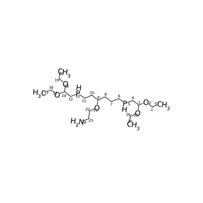 CCOC(CPCCCC(CCPCC(OCC)OCC)OCCN)OCC